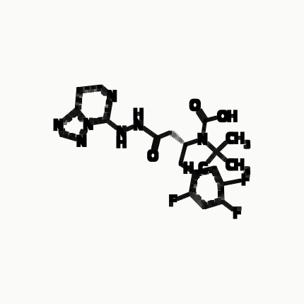 CC(C)(C)N(C(=O)O)[C@@H](CC(=O)NNc1nccc2ncnn12)Cc1cc(F)c(F)cc1F